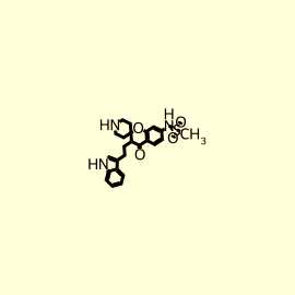 CS(=O)(=O)Nc1ccc2c(c1)OC1(CCNCC1)C(CCc1c[nH]c3ccccc13)C2=O